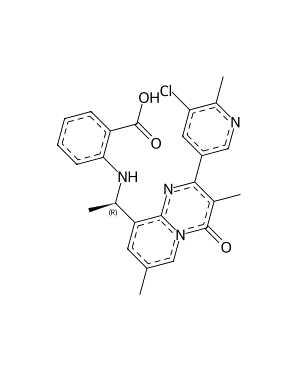 Cc1cc([C@@H](C)Nc2ccccc2C(=O)O)c2nc(-c3cnc(C)c(Cl)c3)c(C)c(=O)n2c1